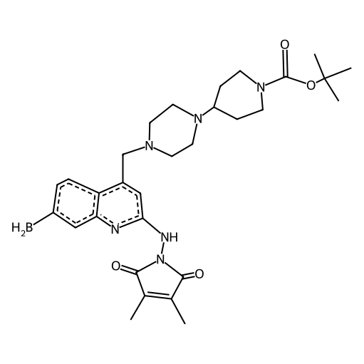 Bc1ccc2c(CN3CCN(C4CCN(C(=O)OC(C)(C)C)CC4)CC3)cc(NN3C(=O)C(C)=C(C)C3=O)nc2c1